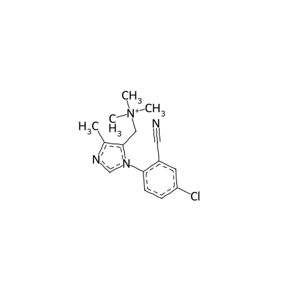 Cc1ncn(-c2ccc(Cl)cc2C#N)c1C[N+](C)(C)C